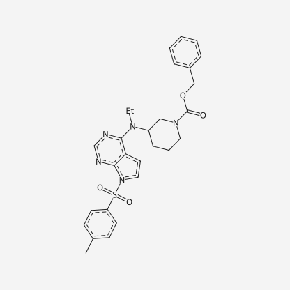 CCN(c1ncnc2c1ccn2S(=O)(=O)c1ccc(C)cc1)C1CCCN(C(=O)OCc2ccccc2)C1